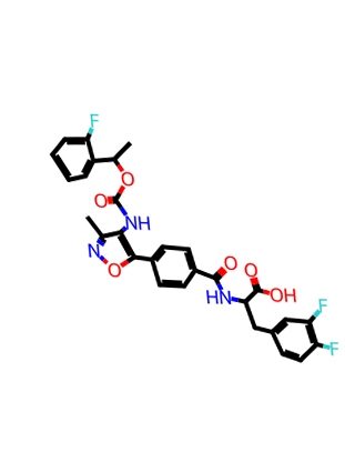 Cc1noc(-c2ccc(C(=O)NC(Cc3ccc(F)c(F)c3)C(=O)O)cc2)c1NC(=O)OC(C)c1ccccc1F